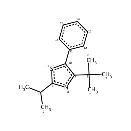 CC(C)c1nc(C(C)(C)C)c(-c2ccccc2)s1